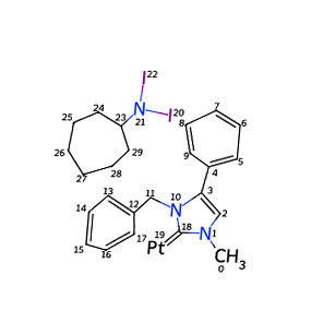 Cn1cc(-c2ccccc2)n(Cc2ccccc2)[c]1=[Pt].IN(I)C1CCCCCC1